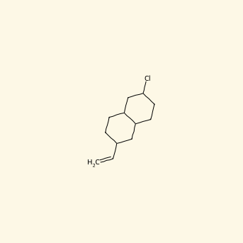 C=CC1CCC2CC(Cl)CCC2C1